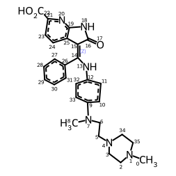 CN1CCN(CCN(C)c2ccc(N/C(=C3\C(=O)Nc4nc(C(=O)O)ccc43)c3ccccc3)cc2)CC1